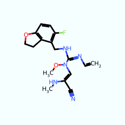 C=C/N=C(/NCc1c(F)ccc2c1CCO2)N(/C=C(/C#N)NC)OC